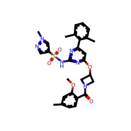 COc1cc(C)ccc1C(=O)N1CC(Oc2cc(-c3c(C)cccc3C)nc(NS(=O)(=O)c3cnn(C)c3)n2)C1